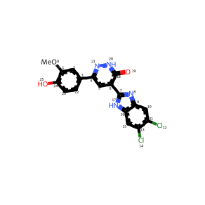 COc1cc(-c2cc(-c3nc4cc(Cl)c(Cl)cc4[nH]3)c(=O)[nH]n2)ccc1O